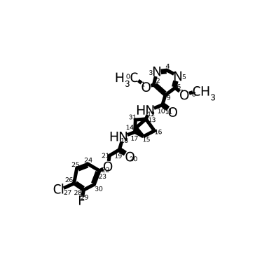 COc1ncnc(OC)c1C(=O)NC12CC(C1)C(NC(=O)COc1ccc(Cl)c(F)c1)C2